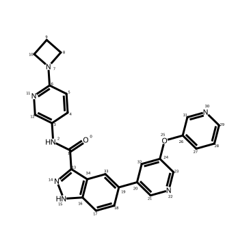 O=C(Nc1ccc(N2CCC2)nc1)c1n[nH]c2ccc(-c3cncc(Oc4cccnc4)c3)cc12